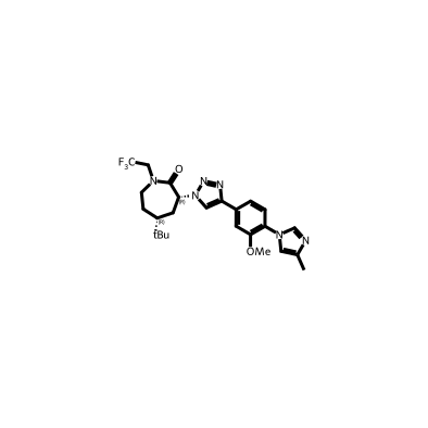 COc1cc(-c2cn([C@@H]3C[C@H](C(C)(C)C)CCN(CC(F)(F)F)C3=O)nn2)ccc1-n1cnc(C)c1